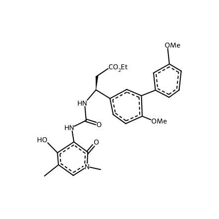 CCOC(=O)C[C@H](NC(=O)Nc1c(O)c(C)cn(C)c1=O)c1ccc(OC)c(-c2cccc(OC)c2)c1